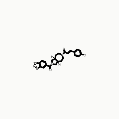 O=C(/C=C/c1ccc(Cl)cc1)N1CC[C@@H]2CN(C(=O)c3ccc4[nH]nnc4c3)C[C@@H]2CC1